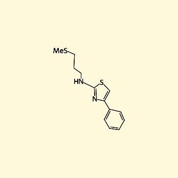 CSCCCNc1nc(-c2ccccc2)cs1